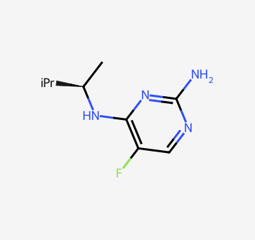 CC(C)[C@@H](C)Nc1nc(N)ncc1F